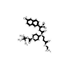 CCOC(=O)CCN(C(=O)CC(c1ccc2cc(Cl)ccc2c1)=S(=O)=O)C1CCN(C(=O)OC(C)(C)C)CC1